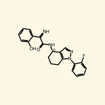 N=C(C(=O)N[C@@H]1CCCc2c1cnn2-c1ccccc1F)c1ccccc1O